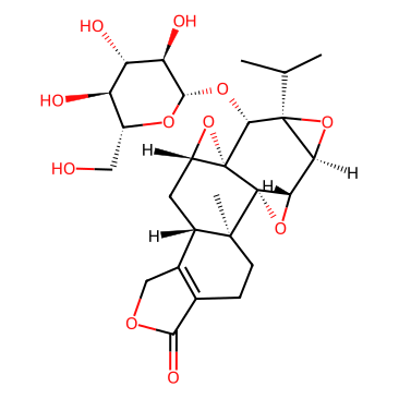 CC(C)[C@]12O[C@H]1[C@@H]1O[C@]13[C@]1(O[C@H]1C[C@H]1C4=C(CC[C@@]13C)C(=O)OC4)[C@@H]2O[C@@H]1O[C@H](CO)[C@@H](O)[C@H](O)[C@H]1O